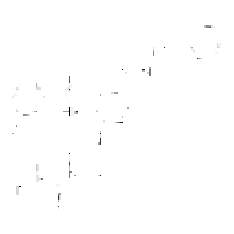 CCNC(=O)N1CCCN(c2ccc(C(=O)N[C@H]3C[C@@H]3c3ccccc3)cc2NC(=O)c2cccc(F)c2)CC1